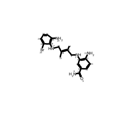 C/C(CNc1cc(C(N)=O)ccc1N)=C(/C)CNc1c(N)cccc1Br